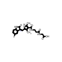 Cc1[nH]c(/C=C2\C(=O)Nc3ccc(F)cc32)c(C)c1C(=O)NCCC(=O)NCC(=O)O